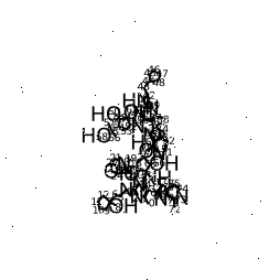 Cc1nc(NCCC2(O)CCCC2)nc(N[C@@H]2C[C@H](CN3CCOCC3=O)[C@@H](Oc3nccc4sc(-c5c(C)nc(NCCC6CCCC6)nc5N[C@@H]5C[C@H](C(C)(C)O)[C@@H](O)[C@H]5O)nc34)[C@H]2O)c1-c1nc2c(C)nccc2s1